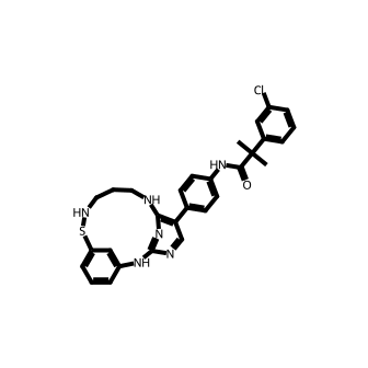 CC(C)(C(=O)Nc1ccc(-c2cnc3nc2NCCCNSc2cccc(c2)N3)cc1)c1cccc(Cl)c1